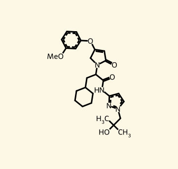 COc1cccc(OC2=CC(=O)N(C(CC3CCCCC3)C(=O)Nc3ccn(CC(C)(C)O)n3)C2)c1